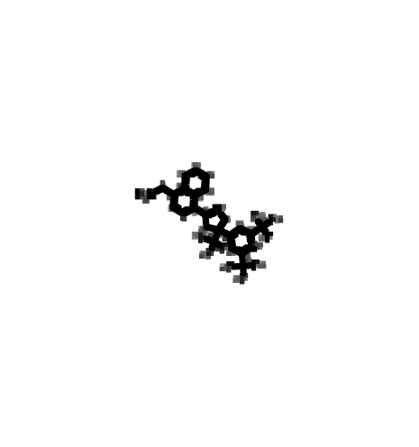 NCc1ccc(C2=NCC(c3cc(C(F)(F)F)nc(C(F)(F)F)c3)(C(F)(F)F)C2)c2ccccc12